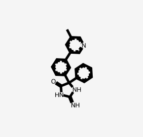 Cc1cncc(-c2cccc(C3(c4ccccc4)NC(=N)NC3=O)c2)c1